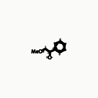 COCC([O])c1ccccc1